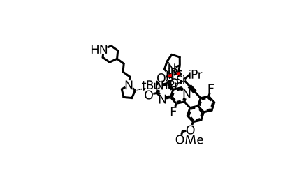 COCOc1cc(-c2ncc3c(N4CC5CCC(C4)N5C(=O)OC(C)(C)C)nc(OC[C@@H]4CCCN4CCCC4CCNCC4)nc3c2F)c2c(C#C[Si](C(C)C)(C(C)C)C(C)C)c(F)ccc2c1